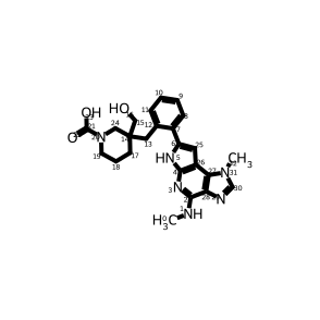 CNc1nc2[nH]c(-c3ccccc3CC3(CO)CCCN(C(=O)O)C3)cc2c2c1ncn2C